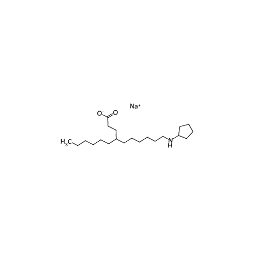 CCCCCCC(CCCCCCNC1CCCC1)CCC(=O)[O-].[Na+]